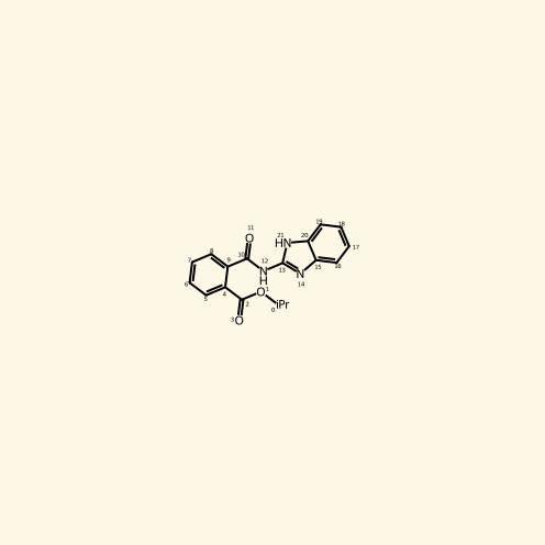 CC(C)OC(=O)c1ccccc1C(=O)Nc1nc2ccccc2[nH]1